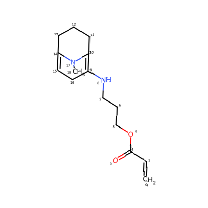 C=CC(=O)OCCCNC1=C2CCCC(=CC1)N2C